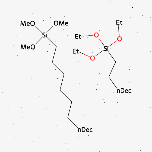 CCCCCCCCCCCCCCCC[Si](OC)(OC)OC.CCCCCCCCCCCC[Si](OCC)(OCC)OCC